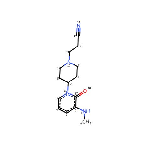 CNc1cccn(C2CCN(CCC#N)CC2)c1=O